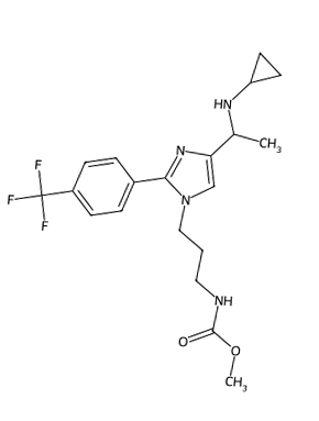 COC(=O)NCCCn1cc(C(C)NC2CC2)nc1-c1ccc(C(F)(F)F)cc1